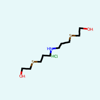 Cl.OCCSCCCNCCCSCCO